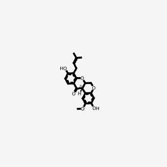 COc1cc2c(cc1O)OCC1Oc3c(ccc(O)c3CC=C(C)C)C(=O)[C@@H]21